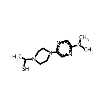 CC(S)N1CCN(c2cnc(N(C)C)cn2)CC1